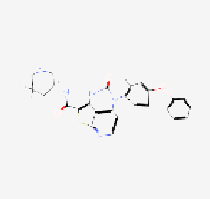 Cc1cc(Oc2ccccc2)ccc1N1C(=O)Nc2c(C(=O)N[C@H]3CNCC(F)(F)C3)sc3nccc1c23